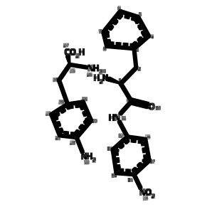 N[C@@H](Cc1ccccc1)C(=O)Nc1ccc([N+](=O)[O-])cc1.Nc1ccc(C[C@H](N)C(=O)O)cc1